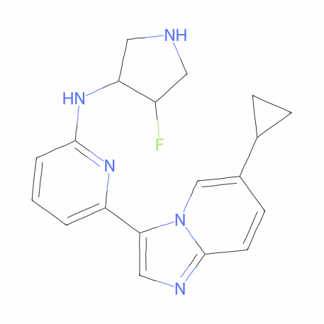 FC1CNCC1Nc1cccc(-c2cnc3ccc(C4CC4)cn23)n1